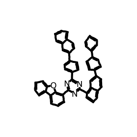 c1ccc(-c2ccc(-c3ccc4cccc(-c5nc(-c6ccc(-c7ccc8ccccc8c7)cc6)nc(-c6cccc7c6oc6ccccc67)n5)c4c3)cc2)cc1